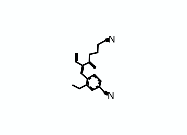 C=C/C(=C/c1ccc(C#N)cc1CC)C(=C)CCCC#N